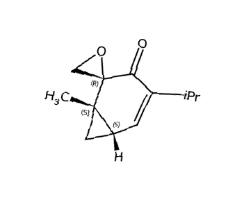 CC(C)C1=C[C@@H]2C[C@]2(C)[C@@]2(CO2)C1=O